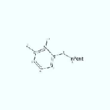 CCCCCCc1cccc(C)c1C